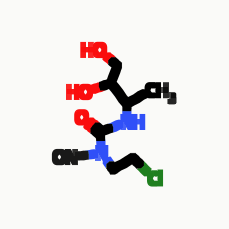 CC(NC(=O)N(CCCl)N=O)C(O)CO